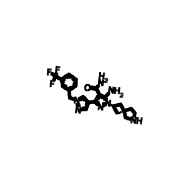 NC(=O)c1c(-c2cnn(Cc3cccc(C(F)(F)F)c3)c2)nn([C@H]2C[C@@]3(CCNC3)C2)c1N